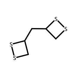 C1SSC1CC1CSS1